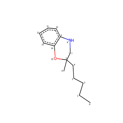 CCCCCC1(C)[C]Nc2ccccc2O1